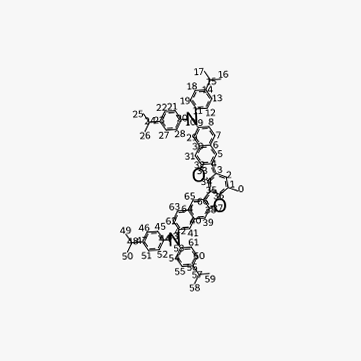 Cc1cc2c3cc4ccc(N(c5ccc(C(C)C)cc5)c5ccc(C(C)C)cc5)cc4cc3oc2c2c1oc1cc3cc(N(c4ccc(C(C)C)cc4)c4ccc(C(C)C)cc4)ccc3cc12